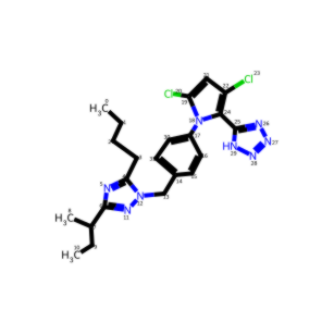 CCCCc1nc(C(C)CC)nn1Cc1ccc(-n2c(Cl)cc(Cl)c2-c2nnn[nH]2)cc1